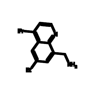 CCc1cc(CN)c2nccc(C(C)C)c2c1